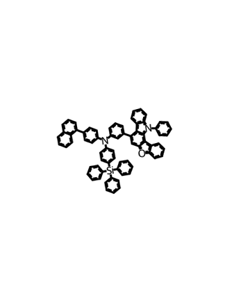 c1ccc(-n2c3ccccc3c3c(-c4cccc(N(c5ccc(-c6cccc7ccccc67)cc5)c5ccc([Si](c6ccccc6)(c6ccccc6)c6ccccc6)cc5)c4)cc4oc5ccccc5c4c32)cc1